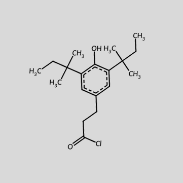 CCC(C)(C)c1cc(CCC(=O)Cl)cc(C(C)(C)CC)c1O